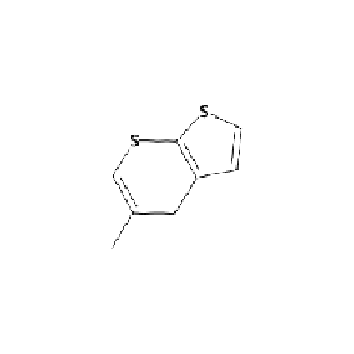 CC1=CSc2sccc2C1